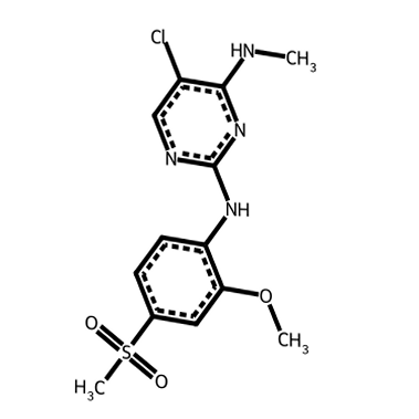 CNc1nc(Nc2ccc(S(C)(=O)=O)cc2OC)ncc1Cl